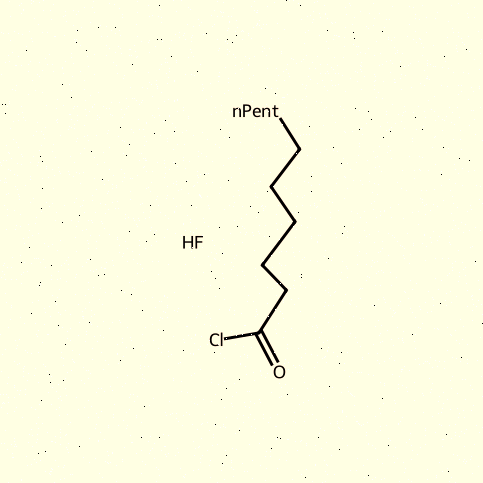 CCCCCCCCCCC(=O)Cl.F